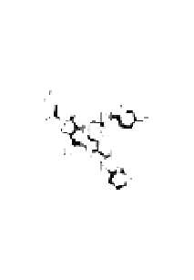 COC[C@H](C)N1Cc2c(n(CC(=O)Nc3ccc(F)cn3)c3cc(C(=O)Nc4cccnn4)nn3c2=O)C1=O